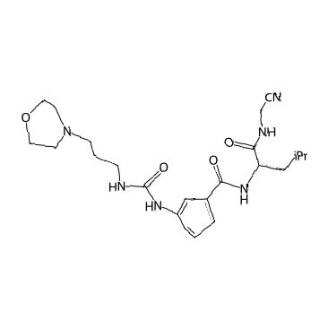 CC(C)CC(NC(=O)c1cccc(NC(=O)NCCCN2CCOCC2)c1)C(=O)NCC#N